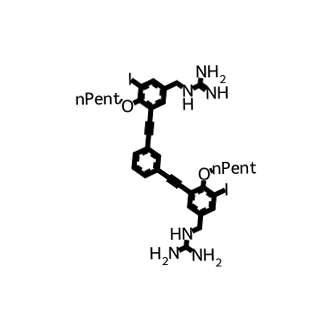 CCCCCOc1c(I)cc(CNC(=N)N)cc1C#Cc1cccc(C#Cc2cc(CNC(N)N)cc(I)c2OCCCCC)c1